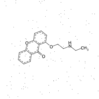 CCNCCOc1cccc2oc3ccccc3c(=O)c12